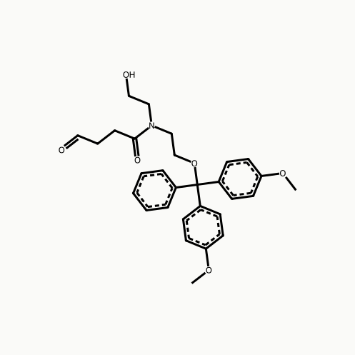 COc1ccc(C(OCCN(CCO)C(=O)CCC=O)(c2ccccc2)c2ccc(OC)cc2)cc1